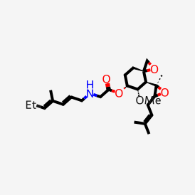 CC/C=C(C)/C=C/CNCC(=O)O[C@@H]1CC[C@]2(CO2)[C@@H]([C@@]2(C)OC2CC=C(C)C)[C@@H]1OC